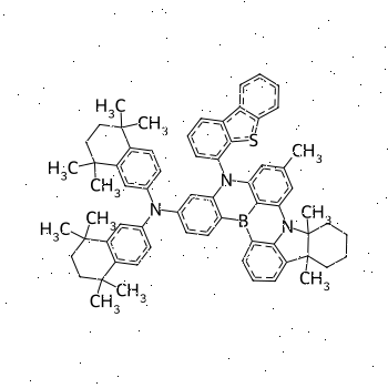 Cc1cc2c3c(c1)N1c4c(cccc4C4(C)CCCCC14C)B3c1ccc(N(c3ccc4c(c3)C(C)(C)CCC4(C)C)c3ccc4c(c3)C(C)(C)CCC4(C)C)cc1N2c1cccc2c1sc1ccccc12